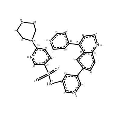 O=S(=O)(Nc1cncc(-c2ccc3nccc(-c4ccncc4)c3c2)c1)c1ccc(N2CCOCC2)nc1